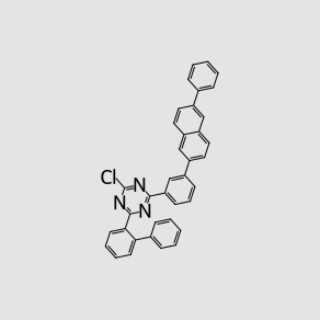 Clc1nc(-c2cccc(-c3ccc4cc(-c5ccccc5)ccc4c3)c2)nc(-c2ccccc2-c2ccccc2)n1